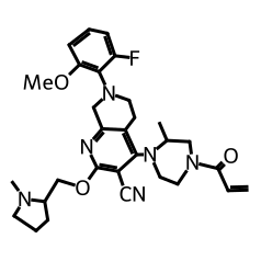 C=CC(=O)N1CCN(c2c(C#N)c(OCC3CCCN3C)nc3c2CCN(c2c(F)cccc2OC)C3)C(C)C1